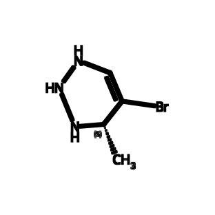 C[C@@H]1NNNC=C1Br